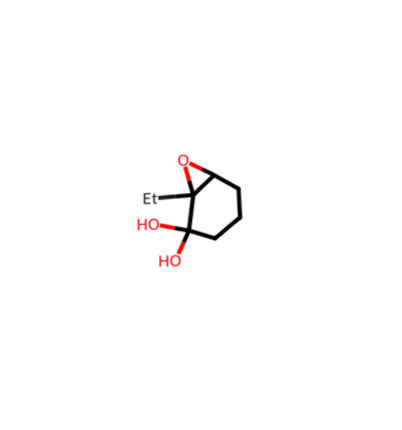 CCC12OC1CCCC2(O)O